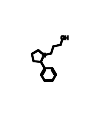 OCCCN1CCCC1c1ccccc1